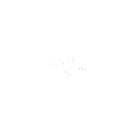 COc1cnc(C)cc1-c1cc(C)ncc1C(=O)Nc1nnc(SC[C@H]2C[C@@H](O)C2)s1